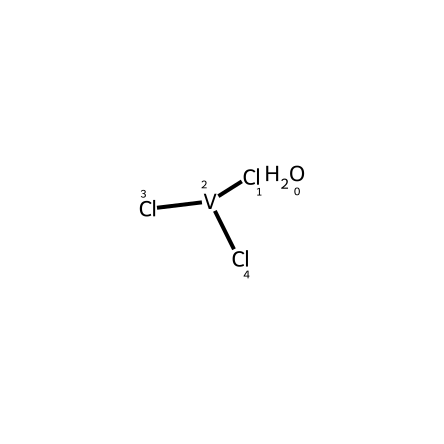 O.[Cl][V]([Cl])[Cl]